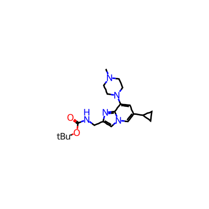 CN1CCN(c2cc(C3CC3)cn3cc(CNC(=O)OC(C)(C)C)nc23)CC1